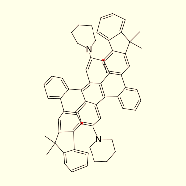 CC1(C)c2ccccc2-c2ccc(-c3ccccc3-c3c4ccc(N5CCCCC5)cc4c(-c4ccccc4-c4ccc5c(c4)C(C)(C)c4ccccc4-5)c4ccc(N5CCCCC5)cc34)cc21